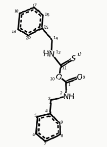 O=C(NCc1ccccc1)OC(=S)NCc1ccccc1